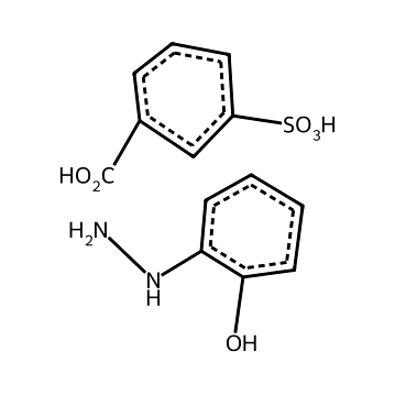 NNc1ccccc1O.O=C(O)c1cccc(S(=O)(=O)O)c1